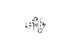 CC(C)(C)N1C(=O)C2C3CC(C(OC(=O)CCN4CCSCC4)C31)C2C(=O)OCC(F)(F)F